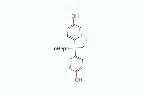 CCCCCCCC(CF)(c1ccc(O)cc1)c1ccc(O)cc1